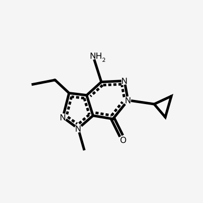 CCc1nn(C)c2c(=O)n(C3CC3)nc(N)c12